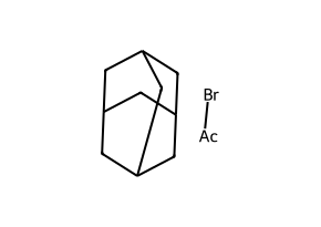 C1C2CC3CC1CC(C2)C3.CC(=O)Br